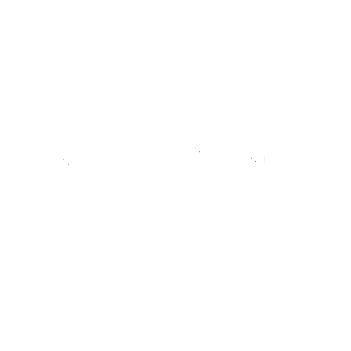 O=C(Nc1cccc(-c2ccc([N+](=O)[O-])cc2)n1)c1ccccc1